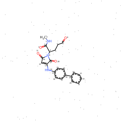 CNC(=O)C(CCC=O)N1C(=O)C=C(Nc2ccc(-c3ccccc3)cc2)C1=O